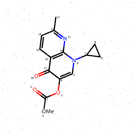 COC(=O)Oc1cn(C2CC2)c2nc(C)ccc2c1=O